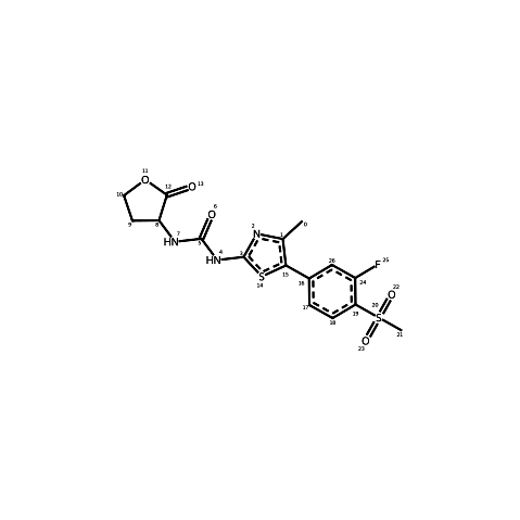 Cc1nc(NC(=O)NC2CCOC2=O)sc1-c1ccc(S(C)(=O)=O)c(F)c1